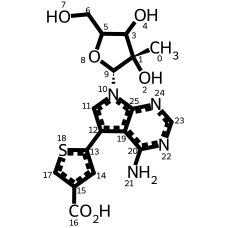 C[C@]1(O)C(O)C(CO)O[C@H]1n1cc(-c2cc(C(=O)O)cs2)c2c(N)ncnc21